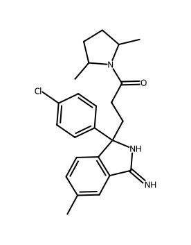 Cc1ccc2c(c1)C(=N)NC2(CCC(=O)N1C(C)CCC1C)c1ccc(Cl)cc1